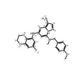 COc1ccc(CN(C)c2cc(Nc3cc(F)cc4c3OCCO4)nc3c(N)cnn23)cc1